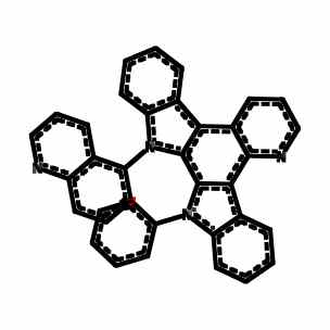 c1ccc(-n2c3ccccc3c3c4ncccc4c4c5ccccc5n(-c5cccc6ncccc56)c4c32)cc1